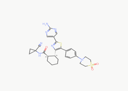 N#CC1(NC(=O)[C@@H]2CCCC[C@H]2c2nc(-c3cnc(N)nc3)sc2-c2ccc(N3CCS(=O)(=O)CC3)cc2)CC1